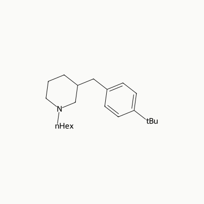 CCCCCCN1CCCC(Cc2ccc(C(C)(C)C)cc2)C1